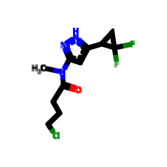 CN(C(=O)CCCCl)c1cc(C2CC2(F)F)[nH]n1